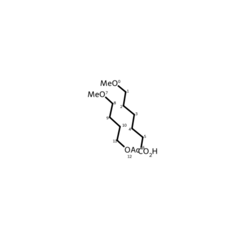 COCCCCCC(=O)O.COCCCCOC(C)=O